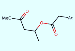 COC(=O)CC(C)OC(=O)CC(C)=O